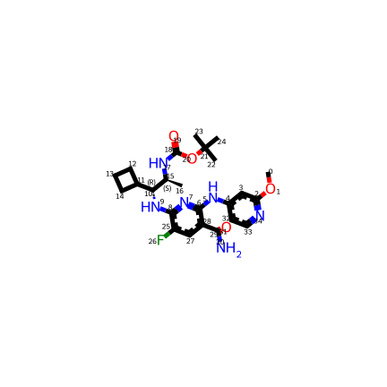 COc1cc(Nc2nc(N[C@H](C3CCC3)[C@H](C)NC(=O)OC(C)(C)C)c(F)cc2C(N)=O)ccn1